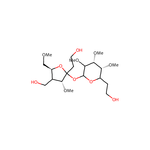 COC[C@H]1OC(CCO)(OC2OC(CCO)[C@@H](OC)[C@@H](OC)C2OC)[C@H](OC)C1CO